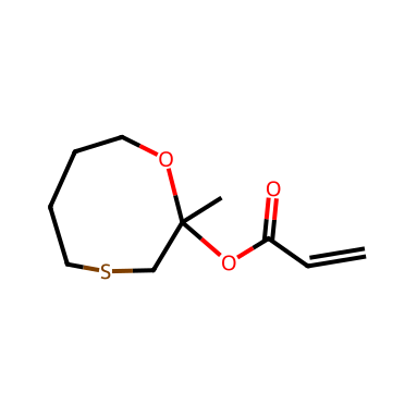 C=CC(=O)OC1(C)CSCCCCO1